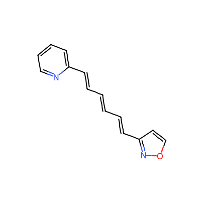 C(=C\C=C\c1ccon1)/C=C/c1ccccn1